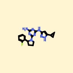 Nc1nc(Nc2cc(C3CC3)[nH]n2)nc(N2CCCC2c2ccccc2F)n1